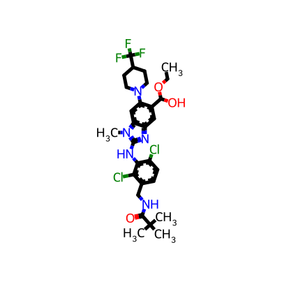 CCOC(O)c1cc2nc(Nc3c(Cl)ccc(CNC(=O)C(C)(C)C)c3Cl)n(C)c2cc1N1CCC(C(F)(F)F)CC1